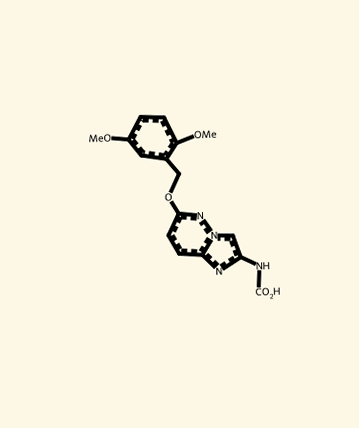 COc1ccc(OC)c(COc2ccc3nc(NC(=O)O)cn3n2)c1